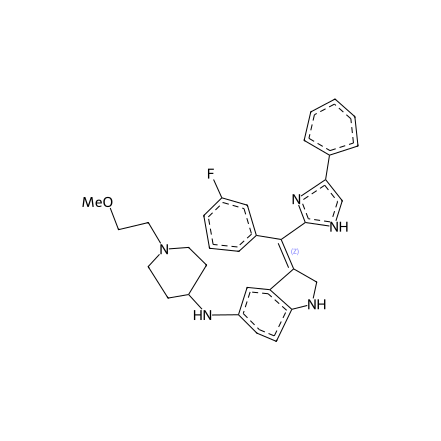 COCCN1CCC(Nc2ccc3c(c2)/C(=C(\c2cccc(F)c2)c2nc(-c4ccccc4)c[nH]2)CN3)CC1